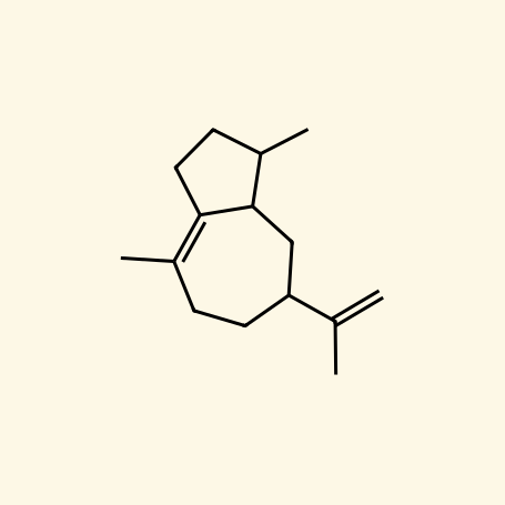 C=C(C)C1CCC(C)=C2CCC(C)C2C1